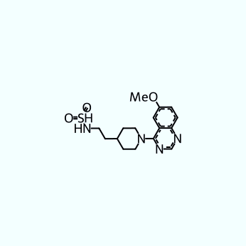 COc1ccc2ncnc(N3CCC(CCN[SH](=O)=O)CC3)c2c1